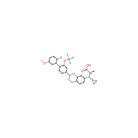 COc1ccc(F)c(-c2ccc(C3CCc4ccc(C(C5CC5)[C@H](C)C(=O)O)cc4O3)cc2OC(F)(F)F)c1